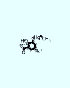 C[CH2][Hg][S]c1cccc(C(=O)[O-])c1O.[Na+]